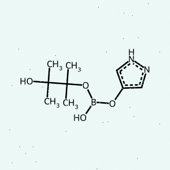 CC(C)(O)C(C)(C)OB(O)Oc1cn[nH]c1